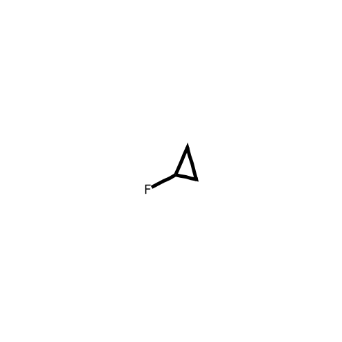 FC1CC1